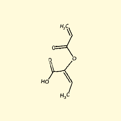 C=CC(=O)OC(=CC)C(=O)O